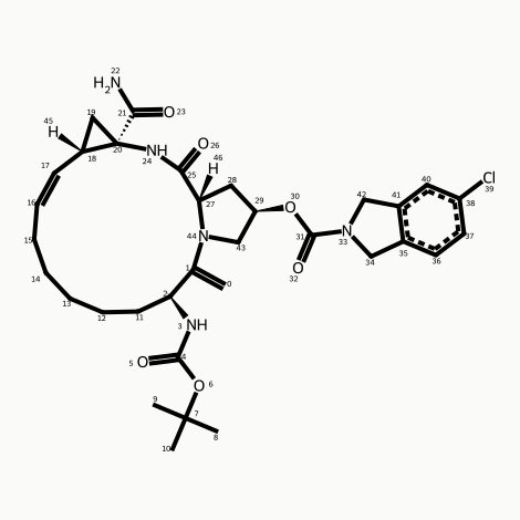 C=C1[C@@H](NC(=O)OC(C)(C)C)CCCCC/C=C\[C@@H]2C[C@@]2(C(N)=O)NC(=O)[C@@H]2C[C@@H](OC(=O)N3Cc4ccc(Cl)cc4C3)CN12